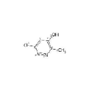 Cc1nnc(Cl)cc1O